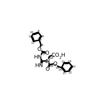 N=C(NC(=O)OCc1ccccc1)N(CC(=O)O)C(=O)OCc1ccccc1